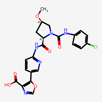 CO[C@@H]1C[C@H](C(=O)Nc2ccc(-c3ocnc3C(=O)O)cn2)N(C(=O)Nc2ccc(Cl)cc2)C1